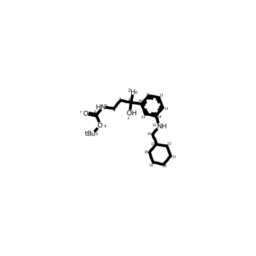 [2H]C(O)(CCNC(=O)OC(C)(C)C)c1cccc(NCC2CCCCC2)c1